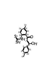 Cc1ccc(/C(O)=C/C(=O)c2cc(C)ccc2NC(=S)S)cc1